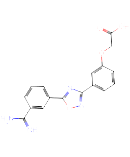 N=C(N)c1cccc(-c2nc(-c3cccc(OCC(=O)O)c3)no2)c1